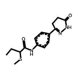 CCC(SC)C(=O)Nc1ccc(C2=NNC(=O)CC2)cc1